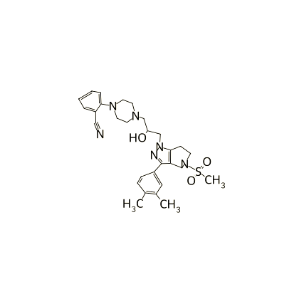 Cc1ccc(-c2nn(CC(O)CN3CCN(c4ccccc4C#N)CC3)c3c2CN(S(C)(=O)=O)CC3)cc1C